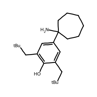 CC(C)(C)Cc1cc(C2(N)CCCCCC2)cc(CC(C)(C)C)c1O